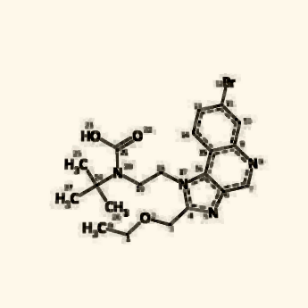 CCOCc1nc2cnc3cc(Br)ccc3c2n1CCN(C(=O)O)C(C)(C)C